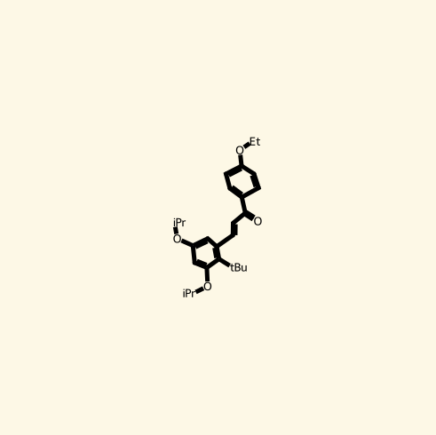 CCOc1ccc(C(=O)C=Cc2cc(OC(C)C)cc(OC(C)C)c2C(C)(C)C)cc1